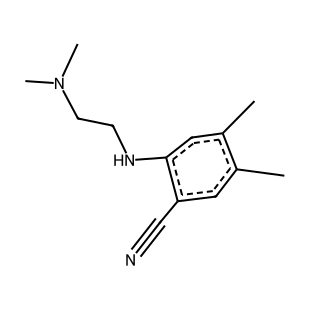 Cc1cc(C#N)c(NCCN(C)C)cc1C